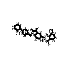 Cc1c(C)n(Cc2ccc(-c3ccccc3C(=O)O)cc2)c2ccc(C(=O)N[C@H](C)c3cccc(Cl)c3)cc12